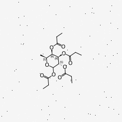 CCC(=O)OC1O[C@@H](C)[C@@H](OC(=O)CC)[C@@H](OC(=O)CC)[C@@H]1OC(=O)CC